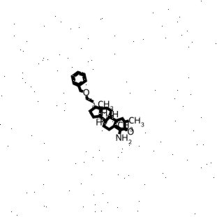 CC1C[C@@]2(C)C(=C(N)C1=O)CC[C@H]1[C@@H]3CC[C@H](CCOCc4ccccc4)[C@@]3(C)CC[C@@H]12